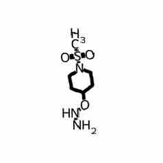 CS(=O)(=O)N1CCC(ONN)CC1